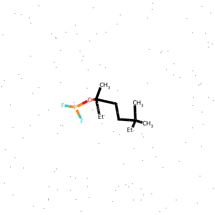 CCC(C)(C)CCC(C)(CC)OP(F)F